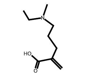 C=C(CCCN(C)CC)C(=O)O